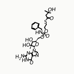 CC(C)(O)CC(=O)SCCOP(=O)(NCc1ccccc1)OC[C@H]1O[C@@H](n2cnc3c(=O)[nH]c(N)nc32)[C@](C)(O)[C@@H]1O